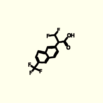 O=C(O)C(c1ccc2cc(C(F)(F)F)ccc2c1)C(F)F